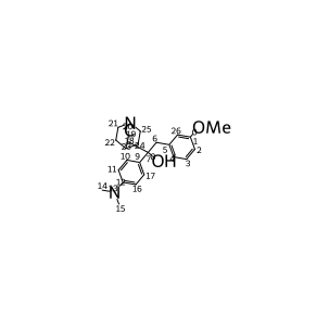 COc1cccc(CC(O)(c2ccc(N(C)C)cc2)C2CN3CCC2CC3)c1